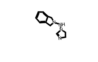 C1=NCCN1NN1Cc2ccccc2C1